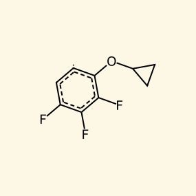 Fc1c[c]c(OC2CC2)c(F)c1F